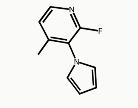 Cc1ccnc(F)c1-n1cccc1